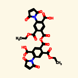 CCOC(=O)c1cc(N2C(=O)C=CC2=O)c(C(=O)O)cc1C(=O)OC(=O)c1cc(C(=O)O)c(N2C(=O)C=CC2=O)cc1C(=O)OCC